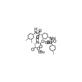 Cc1ccc(S(=O)(=O)Nc2ccc(S(=O)(=O)Nc3ccc(C)c(C[C@H](NC(=O)OC(C)(C)C)C(=O)OC(C)(C)C)c3)cc2)cc1